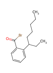 CCCCCC(CC)c1ccccc1C(=O)Br